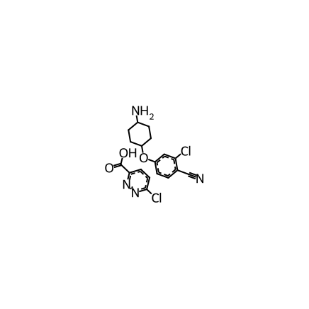 N#Cc1ccc(OC2CCC(N)CC2)cc1Cl.O=C(O)c1ccc(Cl)nn1